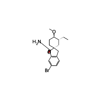 CC[C@@H]1C[C@]2(CC[C@H]1OC)Cc1ccc(Br)cc1[C@@]21COC(N)=N1